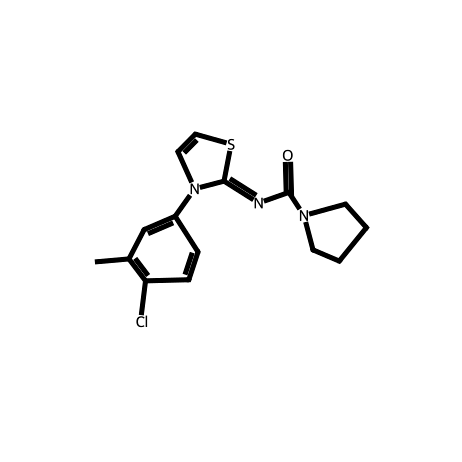 Cc1cc(-n2ccsc2=NC(=O)N2CCCC2)ccc1Cl